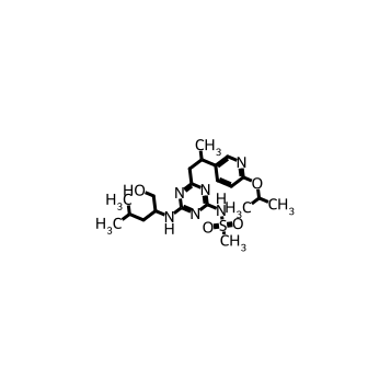 CC(C)CC(CO)Nc1nc(CC(C)c2ccc(OC(C)C)nc2)nc(NS(C)(=O)=O)n1